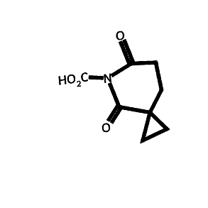 O=C(O)N1C(=O)CCC2(CC2)C1=O